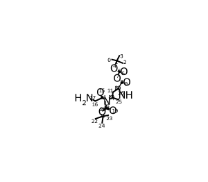 CC(C)(C)OC(=O)OC(=O)[C@@H]1C[C@H](N(C(=O)CN)C(=O)OC(C)(C)C)CN1